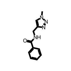 Cn1cc(CNC(=O)c2ccccc2)nn1